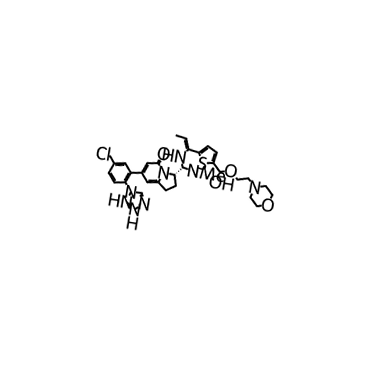 C/C=C(\NC(NC)[C@@H]1CCc2cc(-c3cc(Cl)ccc3N3C=NNN3)cc(=O)n21)c1ccc([C@@H](O)OCCN2CCOCC2)s1